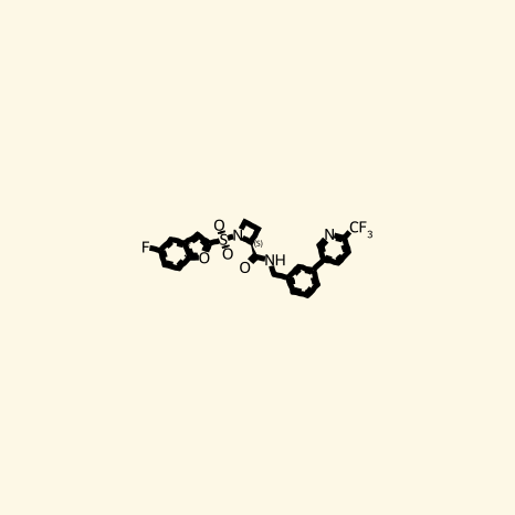 O=C(NCc1cccc(-c2ccc(C(F)(F)F)nc2)c1)[C@@H]1CCN1S(=O)(=O)c1cc2cc(F)ccc2o1